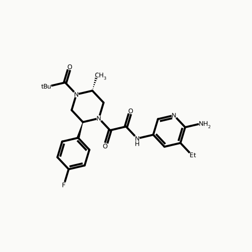 CCc1cc(NC(=O)C(=O)N2C[C@@H](C)N(C(=O)C(C)(C)C)C[C@@H]2c2ccc(F)cc2)cnc1N